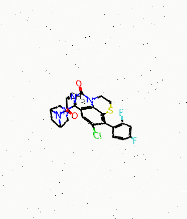 C=CC(=O)N1C2CC1CN(c1nc(=O)n3c4c(c(-c5ccc(F)cc5F)c(Cl)cc14)SCC3)C2